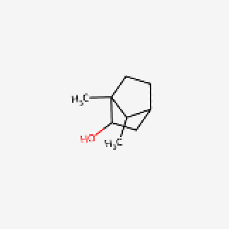 CC1C2CCC1(C)C(O)C2